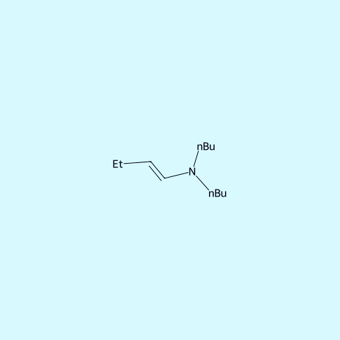 CC/C=C/N(CCCC)CCCC